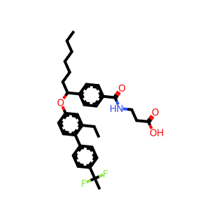 CCCCCCC(Oc1ccc(-c2ccc(C(C)(F)F)cc2)c(CC)c1)c1ccc(C(=O)NCCC(=O)O)cc1